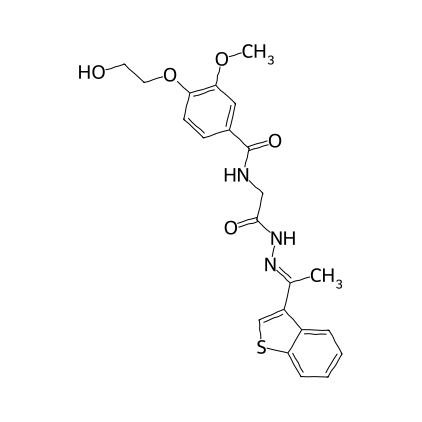 COc1cc(C(=O)NCC(=O)N/N=C(\C)c2csc3ccccc23)ccc1OCCO